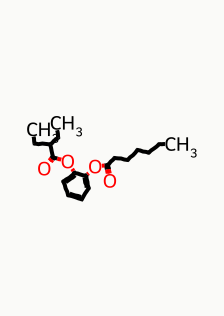 CCCCCCC(=O)Oc1ccccc1OC(=O)C(CC)CC